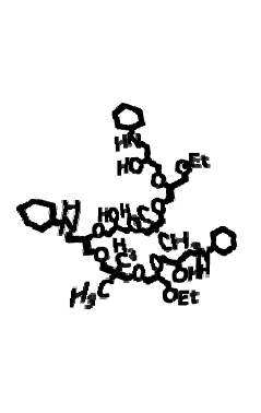 CCOCC(COCC(C)(C)COCC(O)COC(CNC1CCCCC1)COCC(C)(C)COCC(COCC)OCC(O)CNC1CCCCC1)OCC(O)CNC1CCCCC1